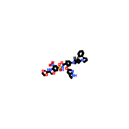 Cc1ccccc1[C@@H]1CCCN1C1CC2(C1)CN(c1ccc(C(=O)NS(=O)(=O)c3cc4c(c([N+](=O)[O-])c3)N[C@H]([C@H]3COCCO3)CO4)c(Oc3cnc4[nH]ccc4c3)c1)C2